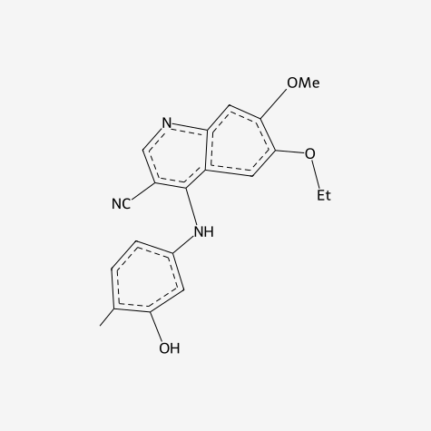 CCOc1cc2c(Nc3ccc(C)c(O)c3)c(C#N)cnc2cc1OC